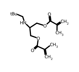 C=C(C)C(=O)OCC(COC(=O)C(=C)C)NCC(C)(C)C